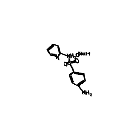 Nc1ccc(S(=O)(=O)Nc2ccccn2)cc1.O.[NaH]